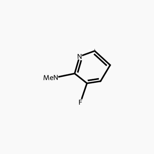 CNc1n[c]ccc1F